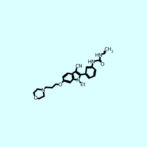 C=CNC(=O)Nc1cccc(-c2c(C#N)c3ccc(OCCCN4CCOCC4)cc3n2CC)c1